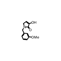 COc1cccc(CN2CC=C(O)C2=O)c1